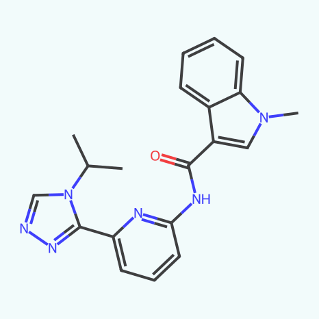 CC(C)n1cnnc1-c1cccc(NC(=O)c2cn(C)c3ccccc23)n1